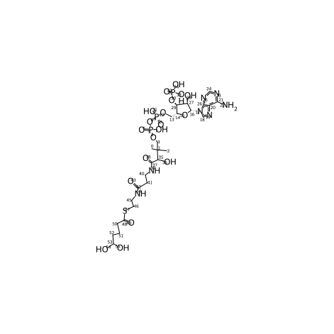 CC(C)(COP(=O)(O)OP(=O)(O)OC[C@H]1O[C@@H](n2cnc3c(N)ncnc32)[C@H](O)[C@@H]1OP(=O)(O)O)C(O)C(=O)NCCC(=O)NCCSC(=O)CCCC(O)O